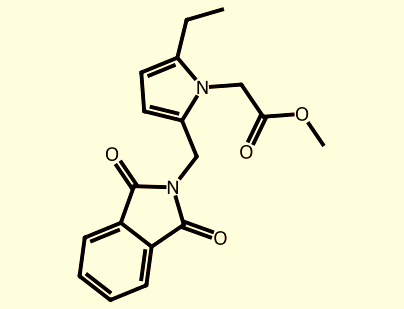 CCc1ccc(CN2C(=O)c3ccccc3C2=O)n1CC(=O)OC